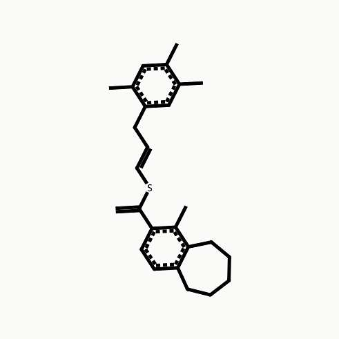 C=C(S/C=C/Cc1cc(C)c(C)cc1C)c1ccc2c(c1C)CCCCC2